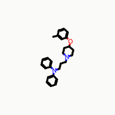 Cc1cccc(OC2CCN(CCCN(c3ccccc3)c3ccccc3)CC2)c1